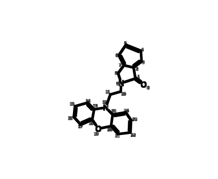 O=C1c2ccccc2CN1CCN1c2ccccc2Oc2ccccc21